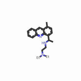 CCN(CC)CCNC(C)c1ccc(C)c2cc3ccccc3nc12